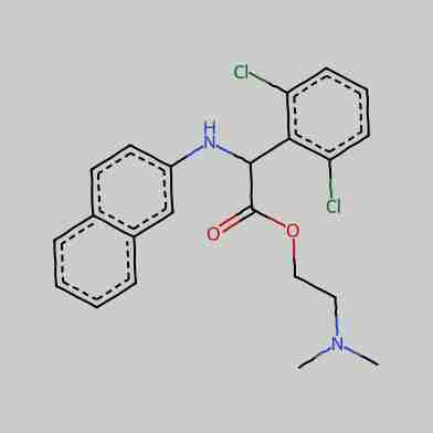 CN(C)CCOC(=O)C(Nc1ccc2ccccc2c1)c1c(Cl)cccc1Cl